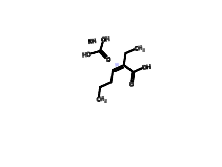 CCC/C=C(/CC)C(=O)O.O=C(O)O.[KH]